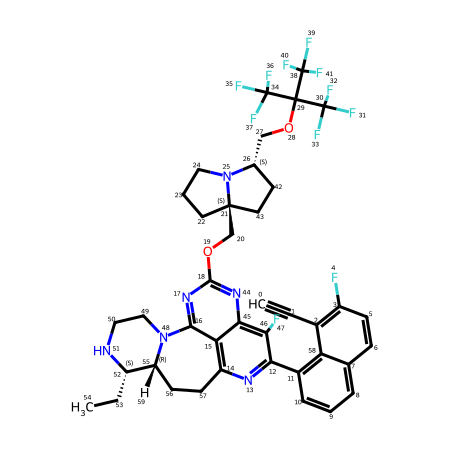 C#Cc1c(F)ccc2cccc(-c3nc4c5c(nc(OC[C@@]67CCCN6[C@H](COC(C(F)(F)F)(C(F)(F)F)C(F)(F)F)CC7)nc5c3F)N3CCN[C@@H](CC)[C@H]3CC4)c12